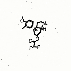 COc1ccc([C@@]23CCC(OC(=O)C(F)F)=C[C@@H]2N(C)CC3)cc1C